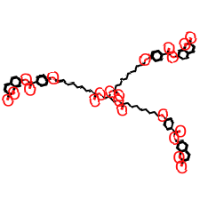 O=C(CCCCCCCCOc1ccc(C(=O)Oc2ccc3ccc(=O)oc3c2)cc1)OCC(COC(=O)CCCCCCCCOc1ccc(C(=O)Oc2ccc3ccc(=O)oc3c2)cc1)OC(=O)CCCCCCCCOc1ccc(C(=O)Oc2ccc3ccc(=O)oc3c2)cc1